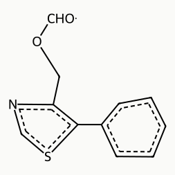 O=[C]OCc1ncsc1-c1ccccc1